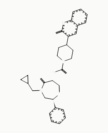 O=C(N[C@@H]1CO[C@@H](c2ccccc2)CN(CC2CC2)C1=O)N1CCC(c2cc3ccccc3[nH]c2=O)CC1